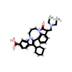 CCN(CC)CC1C(=O)N2CCCn3c(c(C4CCCCC4)c4ccc(C(=O)O)cc43)-c3cccc1c32